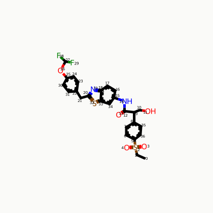 CCS(=O)(=O)c1ccc(C(CO)C(=O)Nc2ccc3nc(Cc4ccc(OC(F)F)cc4)sc3c2)cc1